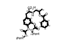 CCCC(C)OC(=O)Oc1ccc(C[C@H](NCC(C)OC(=O)c2ccccc2)C(=O)O)cc1OC(=O)OC(C)CCC